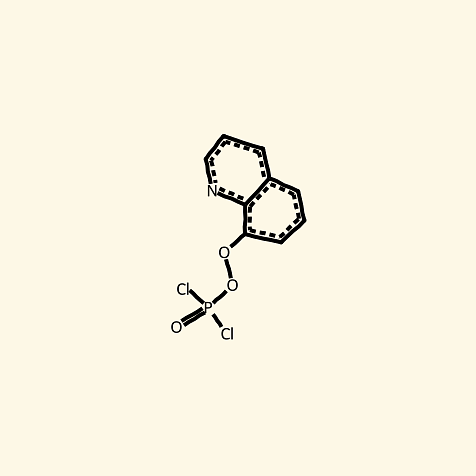 O=P(Cl)(Cl)OOc1cccc2cccnc12